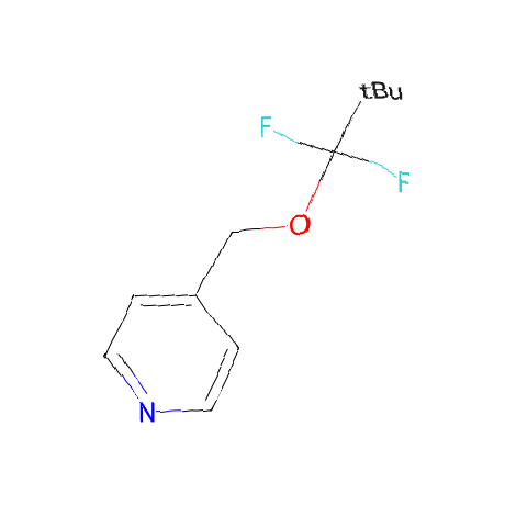 CC(C)(C)C(F)(F)OCc1ccncc1